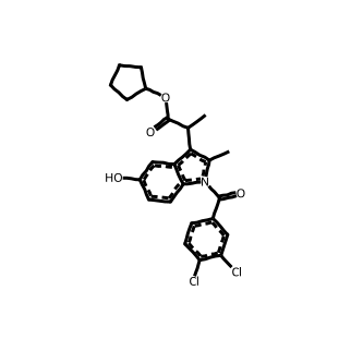 Cc1c(C(C)C(=O)OC2CCCC2)c2cc(O)ccc2n1C(=O)c1ccc(Cl)c(Cl)c1